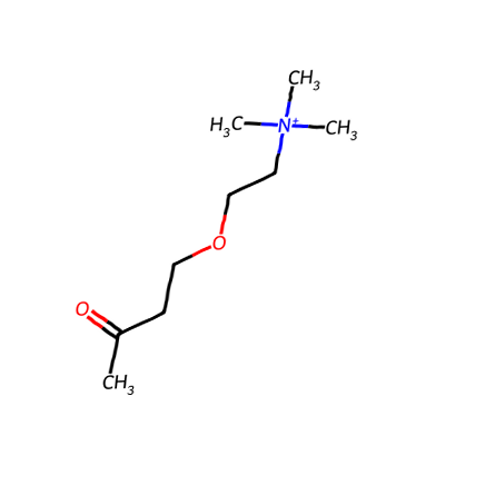 CC(=O)CCOCC[N+](C)(C)C